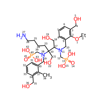 CCOc1c(CO)cccc1CN(CP(=O)(O)O)C(CO)C(CO)(CCCCN)N(Cc1cccc(CO)c1C)CP(=O)(O)O